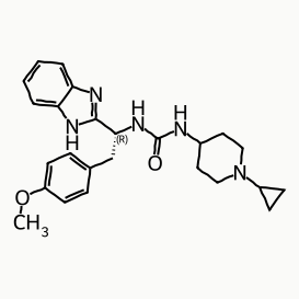 COc1ccc(C[C@@H](NC(=O)NC2CCN(C3CC3)CC2)c2nc3ccccc3[nH]2)cc1